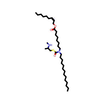 CCCCCC/C=C\COC(=O)CCCCCCCN(CCCCCCCCCCCCCC)C(=O)SCC(C)NC